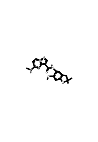 CNc1ccn2ncc(C(=O)Nc3cc4c(cc3OC)OC(C)(C)C4)c2n1